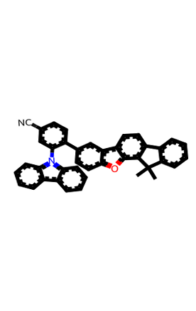 CC1(C)c2ccccc2-c2ccc3c(oc4ccc(-c5ccc(C#N)cc5-n5c6ccccc6c6ccccc65)cc43)c21